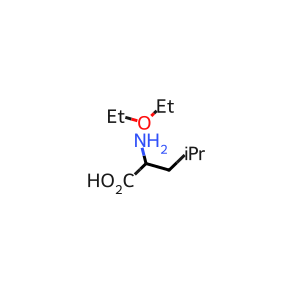 CC(C)CC(N)C(=O)O.CCOCC